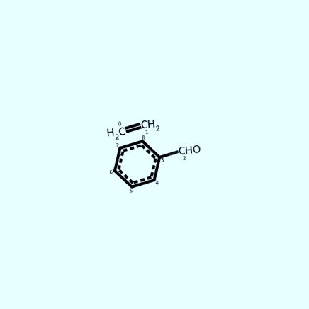 C=C.O=Cc1ccccc1